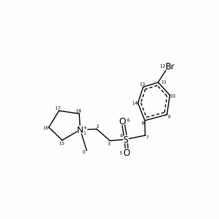 C[N+]1(CCS(=O)(=O)Cc2ccc(Br)cc2)CCCC1